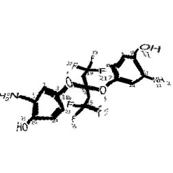 Nc1cc(OC(Oc2ccc(O)c(N)c2)(C(F)(F)F)C(F)(F)F)ccc1O